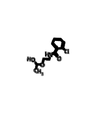 CC(O)OCCNC(=O)c1ccccc1Cl